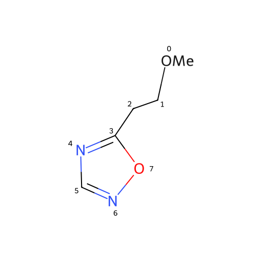 [CH2]OCCc1ncno1